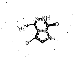 Nc1n[nH]c(=O)c2[nH]cc(Br)c12